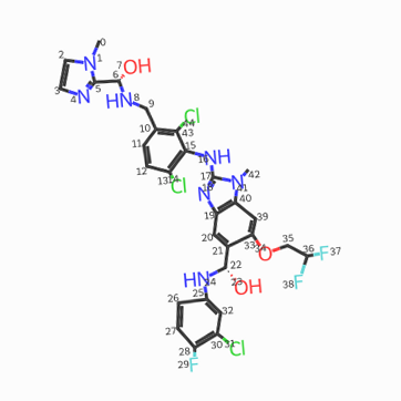 Cn1ccnc1[C@H](O)NCc1ccc(Cl)c(Nc2nc3cc([C@H](O)Nc4ccc(F)c(Cl)c4)c(OCC(F)F)cc3n2C)c1Cl